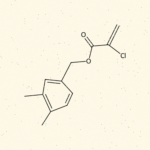 C=C(Cl)C(=O)OCc1ccc(C)c(C)c1